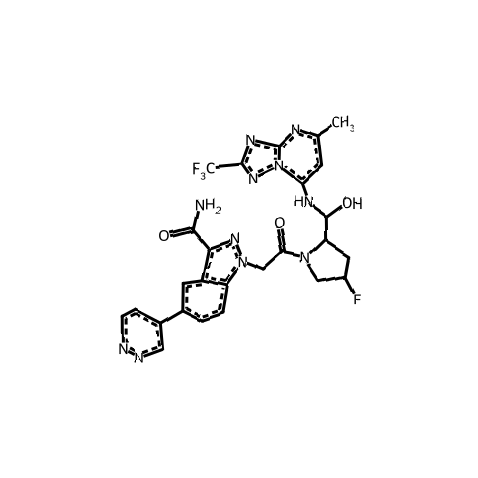 Cc1cc(NC(O)C2CC(F)CN2C(=O)Cn2nc(C(N)=O)c3cc(-c4ccnnc4)ccc32)n2nc(C(F)(F)F)nc2n1